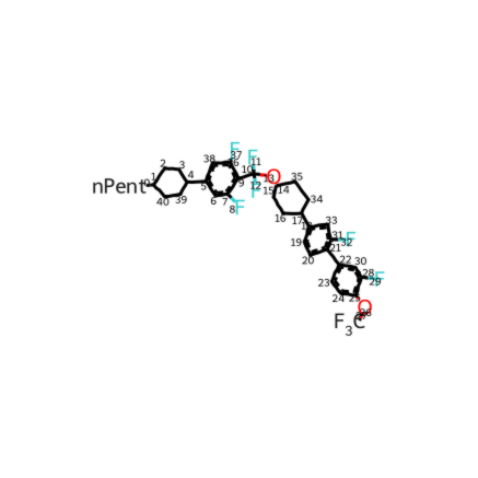 CCCCCC1CCC(c2cc(F)c(C(F)(F)OC3CCC(c4ccc(-c5ccc(OC(F)(F)F)c(F)c5)c(F)c4)CC3)c(F)c2)CC1